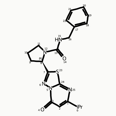 CC(C)c1cc(=O)n2nc([C@H]3CCCN3C(=O)NCc3ccccc3)sc2n1